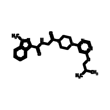 CC(C)COc1cc(N2CCN(C(=O)CNC(=O)c3nn(C)c4ccccc34)CC2)ncn1